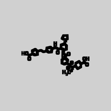 CCN(C1CCC(C(=O)O)CC1)S(=O)(=O)c1cccc(C(=O)Nc2ccc(N3CCCC3)cc2C(=O)Nc2ccc(CCc3ccc(C(=O)O)cc3)cc2)c1